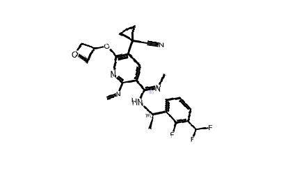 C=Nc1nc(OC2COC2)c(C2(C#N)CC2)cc1/C(=N\C)N[C@H](C)c1cccc(C(F)F)c1F